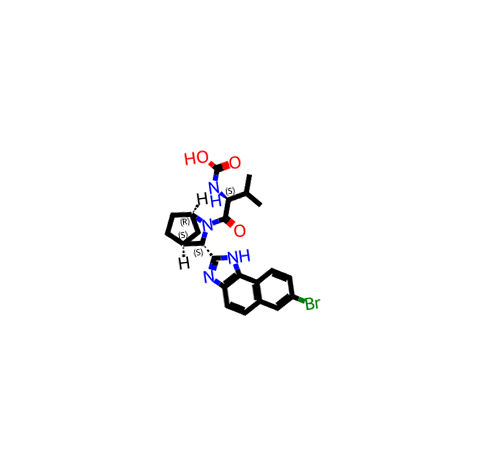 CC(C)[C@H](NC(=O)O)C(=O)N1[C@@H]2CC[C@@H](C2)[C@H]1c1nc2ccc3cc(Br)ccc3c2[nH]1